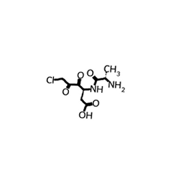 C[C@H](N)C(=O)N[C@@H](CC(=O)O)C(=O)C(=O)CCl